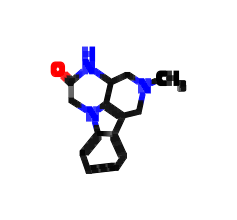 CN1Cc2c3n(c4ccccc24)CC(=O)NC3C1